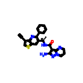 C#Cc1csc2cc([C@H](C)NC(=O)c3c(N)nn4cccnc34)c(-c3ccccc3)nc12